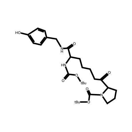 CC(C)(C)OC(=O)NC(CCCCC(=O)C1CCCN1C(=O)OC(C)(C)C)C(=O)NCc1ccc(O)cc1